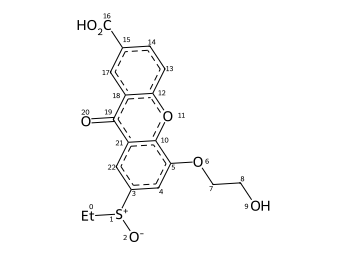 CC[S+]([O-])c1cc(OCCO)c2oc3ccc(C(=O)O)cc3c(=O)c2c1